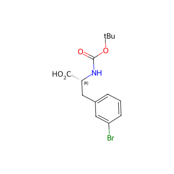 CC(C)(C)OC(=O)N[C@H](Cc1cccc(Br)c1)C(=O)O